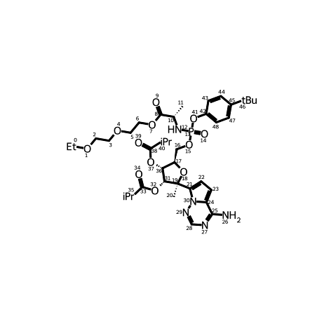 CCOCCOCCOC(=O)[C@H](C)NP(=O)(OC[C@H]1O[C@@](C)(c2ccc3c(N)ncnn23)[C@H](OC(=O)C(C)C)[C@@H]1OC(=O)C(C)C)Oc1ccc(C(C)(C)C)cc1